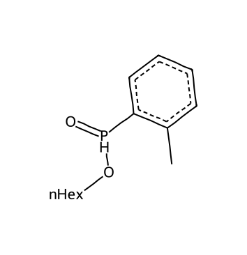 CCCCCCO[PH](=O)c1ccccc1C